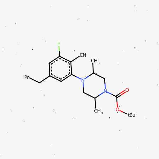 CC(C)Cc1cc(F)c(C#N)c(N2CC(C)N(C(=O)OC(C)(C)C)CC2C)c1